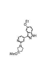 CCOc1ccc2[nH]nc(-c3ccnc(N4CC[C@@H](OC)C4)c3)c2c1